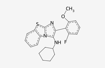 COc1cccc(F)c1-c1nc2sc3ccccc3n2c1NC1CCCCC1